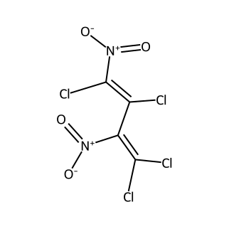 O=[N+]([O-])C(Cl)=C(Cl)C(=C(Cl)Cl)[N+](=O)[O-]